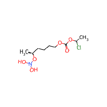 CC(Cl)OC(=O)OCCCC[C@H](C)ON(O)O